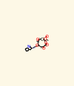 CC[C@H]1OC(=O)[C@H](C)C(=O)[C@H](C)C[C@](C)(OC/C=C/c2cnc3ccccc3c2)C[C@@H](C)C(=O)[C@H](C)C[C@]1(C)OC=O